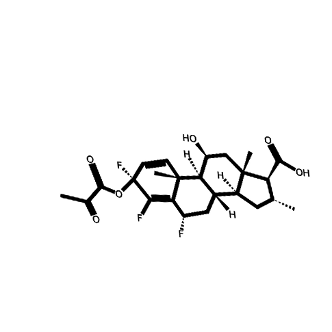 CC(=O)C(=O)O[C@@]1(F)C=C[C@@]2(C)C(=C1F)[C@@H](F)C[C@@H]1[C@@H]2[C@@H](O)C[C@@]2(C)[C@H]1C[C@@H](C)[C@@H]2C(=O)O